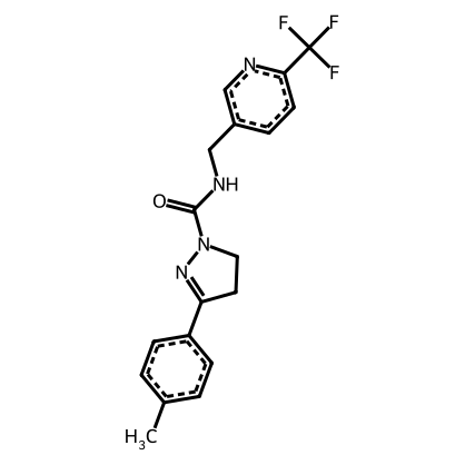 Cc1ccc(C2=NN(C(=O)NCc3ccc(C(F)(F)F)nc3)CC2)cc1